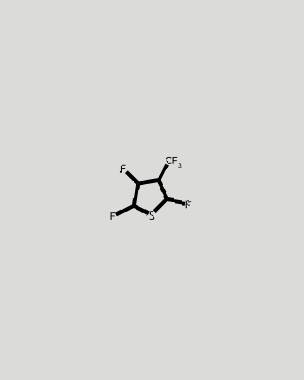 FC1SC(F)C(C(F)(F)F)C1F